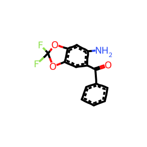 Nc1cc2c(cc1C(=O)c1ccccc1)OC(F)(F)O2